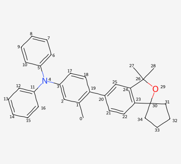 Cc1cc(N(c2ccccc2)c2ccccc2)ccc1-c1ccc2c(c1)C(C)(C)OC21CCCC1